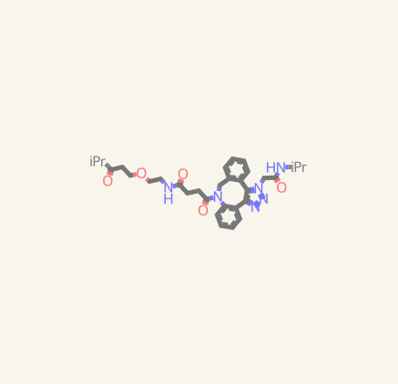 CC(C)NC(=O)Cn1nnc2c1-c1ccccc1CN(C(=O)CCC(=O)NCCOCCC(=O)C(C)C)c1ccccc1-2